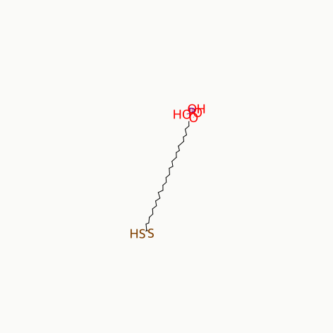 O=P(O)(O)OCCCCCCCCCCCCCCCCCCCCCCCCCCCC(=S)S